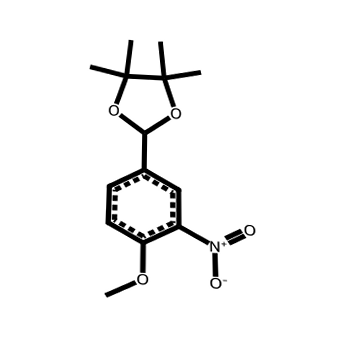 COc1ccc(C2OC(C)(C)C(C)(C)O2)cc1[N+](=O)[O-]